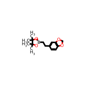 CC1(C)OB(CCc2ccc3c(c2)OCO3)OC1(C)C